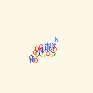 N#CCNC(=O)NC(C(=O)N[C@@H]1C(=O)N2C(C(=O)O)=C(CSc3cccn[n+]3[O-])CSC12)c1cccs1